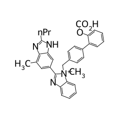 CCCc1nc2c(C)cc(C3=Nc4ccccc4[N+]3(C)Cc3ccc(-c4ccccc4OC(=O)O)cc3)cc2[nH]1